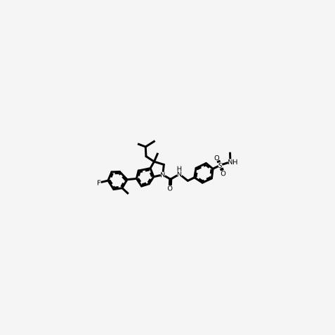 CNS(=O)(=O)c1ccc(CNC(=O)N2CC(C)(CC(C)C)c3cc(-c4ccc(F)cc4C)ccc32)cc1